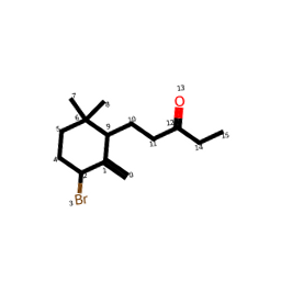 C=C1C(Br)CCC(C)(C)C1CCC(=O)CC